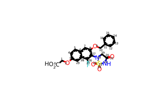 O=C(O)COc1ccc2cc(OCc3ccccc3)c(N3CC(=O)NS3(=O)=O)c(F)c2c1